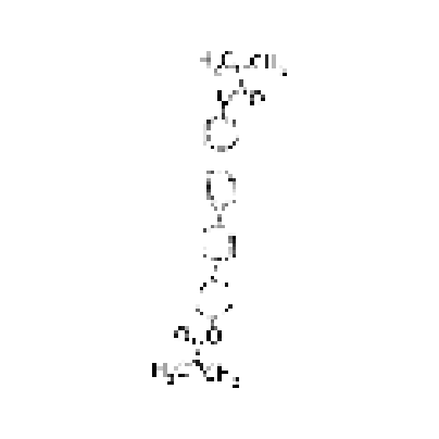 C=C(C)C(=O)Oc1ccc(-c2ccc(-c3ccc(C4CCC(OC(=O)C(=C)C)CC4)cc3)cc2)cc1